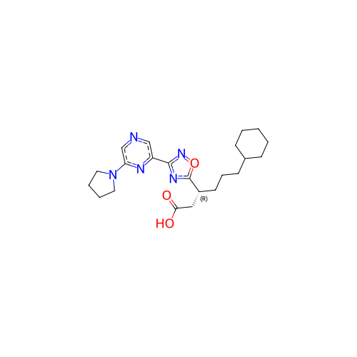 O=C(O)C[C@@H](CCCC1CCCCC1)c1nc(-c2cncc(N3CCCC3)n2)no1